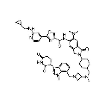 CN(C)c1cc2c(cc1NC(=O)c1coc(-c3ccnc(NCC4CC4)c3)n1)CN(C1CCC(CN(C)C3CN(Cc4cccc5c(C6CCC(=O)NC6=O)nn(C)c45)C3)CC1)C2=O